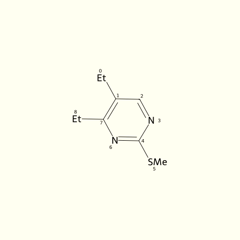 CCc1cnc(SC)nc1CC